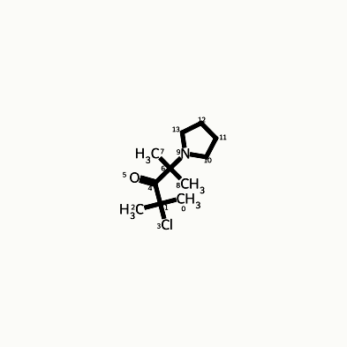 CC(C)(Cl)C(=O)C(C)(C)N1CCCC1